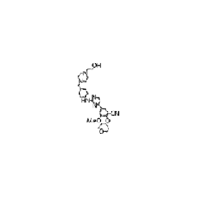 COc1cc(-c2ccnc(Nc3ccc(CN4CCN(CCO)CC4)cc3)n2)cc(C#N)c1OC1CCOCC1